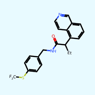 CCC(C(=O)NCc1ccc(SC(F)(F)F)cc1)c1cccc2cnccc12